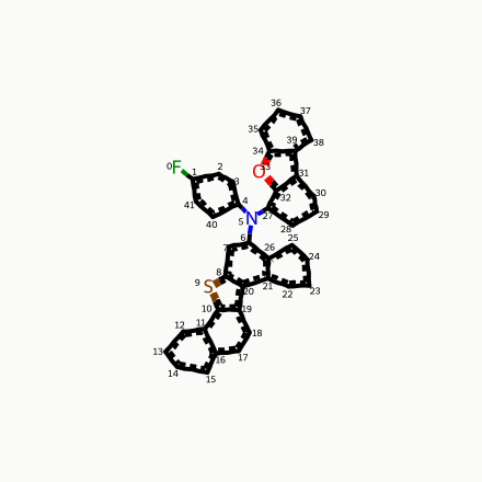 Fc1ccc(N(c2cc3sc4c5ccccc5ccc4c3c3ccccc23)c2cccc3c2oc2ccccc23)cc1